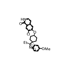 CC[C@H](N)[C@]1(c2cccc(OC)c2)CC[C@H](Oc2cc3cc[nH]c(=O)c3cc2Cl)CC1